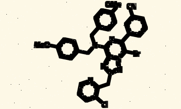 COc1ccc(CN(Cc2ccc(OC)cc2)c2nc(-c3cccc(C#N)c3)c(Br)n3nc(Cc4ncccc4Cl)nc23)cc1